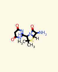 CC1(C)S[C@H]2C(N)C(=O)N2C1C1=NC(=O)CC(=O)N1